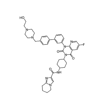 O=C(NC1CCC(n2c(=O)c3cc(F)cnc3n(-c3cccc(-c4ccc(CN5CCN(CCO)CC5)cc4)c3)c2=O)CC1)c1cn2c(n1)CCCC2